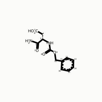 NC(=O)[C@H](CC(=O)O)NC(=O)OCc1ccccc1